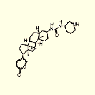 C[C@]12CC[C@H](NC(=O)N[C@H]3CCCNC3)C[C@H]1CC[C@@H]1[C@@H]2CC[C@]2(C)[C@@H](c3ccc(=O)oc3)CC[C@]12O